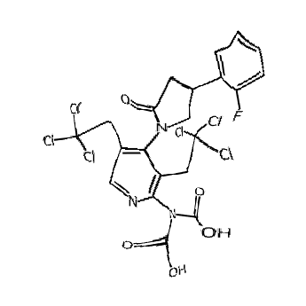 O=C1CC(c2ccccc2F)CN1c1c(CC(Cl)(Cl)Cl)cnc(N(C(=O)O)C(=O)O)c1CC(Cl)(Cl)Cl